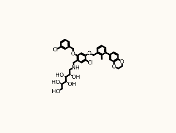 Cc1c(COc2cc(OCc3cccc(Cl)c3)c(CNC[C@H](O)[C@@H](O)[C@H](O)[C@H](O)CO)cc2Cl)cccc1-c1ccc2c(c1)OCCO2